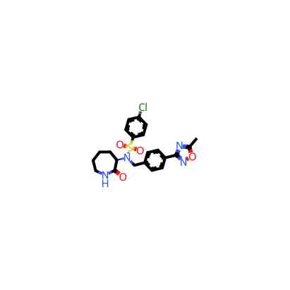 Cc1nc(-c2ccc(CN([C@@H]3CCCCNC3=O)S(=O)(=O)c3ccc(Cl)cc3)cc2)no1